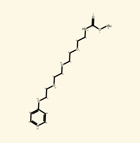 CC(C)(C)OC(=O)NCCOCCOCCOCCOc1ccncc1